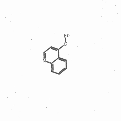 C[CH]Oc1ccnc2ccccc12